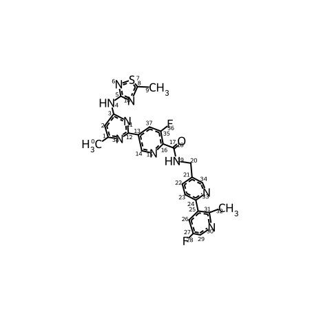 Cc1cc(Nc2nsc(C)n2)nc(-c2cnc(C(=O)NCc3ccc(-c4cc(F)cnc4C)nc3)c(F)c2)n1